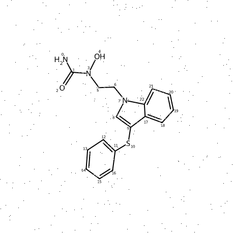 NC(=O)N(O)CCn1cc(Sc2ccccc2)c2ccccc21